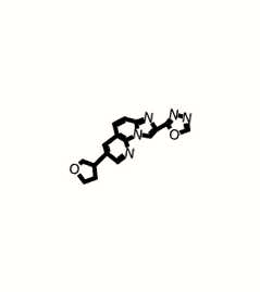 c1nnc(-c2cn3c(ccc4cc(C5CCOC5)cnc43)n2)o1